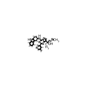 COCCC(C)(O)c1cnn2c(NC3CCc4[nH]c5ccccc5c4C3)nc(-c3cncc(F)c3)nc12